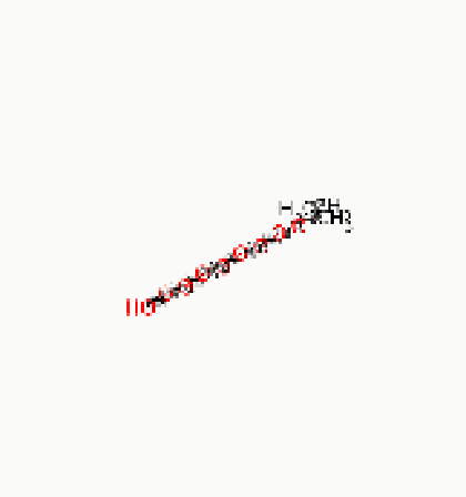 CC(C)(C)CCOCCOCCOCCOCCOCCOCCOCCOCCO